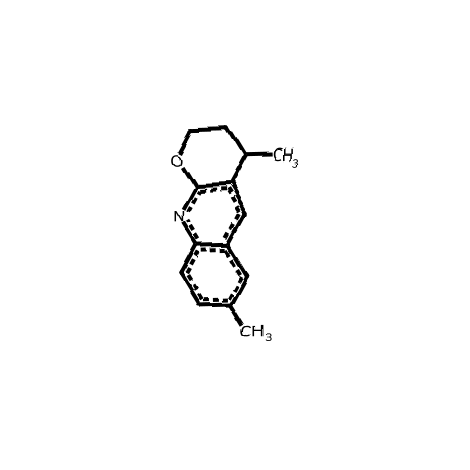 Cc1ccc2nc3c(cc2c1)C(C)CCO3